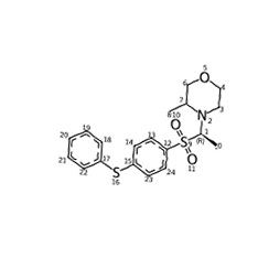 [CH2][C@H](N1CCOCC1C)S(=O)(=O)c1ccc(Sc2ccccc2)cc1